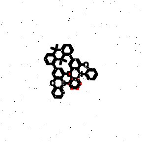 CC1(C)c2cccc(-c3cc4c5c(c3)Oc3ccccc3B5c3ccccc3O4)c2C(C)(C)c2c(-c3cc4c5c(c3)Oc3ccccc3N5c3ccccc3O4)cccc21